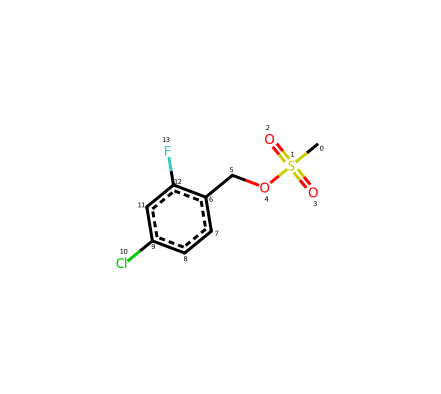 CS(=O)(=O)OCc1ccc(Cl)cc1F